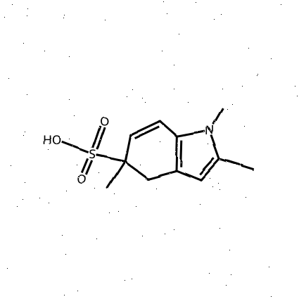 Cc1cc2c(n1C)C=CC(C)(S(=O)(=O)O)C2